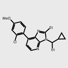 CCc1nc2c(-c3ccc(OC)cc3Cl)ccnc2n1C(CC)C1CC1